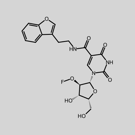 O=C(NCCc1coc2ccccc12)c1cn([C@@H]2O[C@H](CO)[C@H](O)[C@H]2OF)c(=O)[nH]c1=O